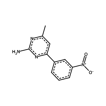 Cc1cc(-c2cccc([N+](=O)[O-])c2)nc(N)n1